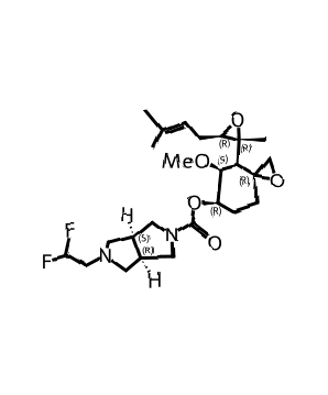 CO[C@H]1C([C@@]2(C)O[C@@H]2CC=C(C)C)[C@]2(CC[C@H]1OC(=O)N1C[C@H]3CN(CC(F)F)C[C@H]3C1)CO2